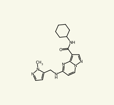 Cn1nccc1CNc1ccn2ncc(C(=O)NC3CCCCC3)c2n1